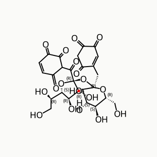 O=C1C=C(C[C@]2(O[C@]3(C(=O)C4C(=O)C=CC(=O)C4=O)O[C@@H]([C@H](O)CO)[C@H](O)[C@H]3O)O[C@H](CO)[C@@H](O)[C@H](O)[C@@H]2O)C(=O)CC1=O